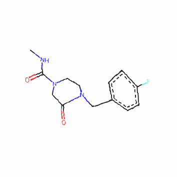 CNC(=O)N1CCN(Cc2ccc(F)cc2)C(=O)C1